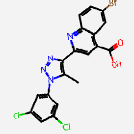 Cc1c(-c2cc(C(=O)O)c3cc(Br)ccc3n2)nnn1-c1cc(Cl)cc(Cl)c1